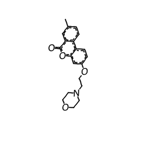 Cc1ccc2c(c1)c(=O)oc1cc(OCCN3CCOCC3)ccc12